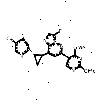 COc1ncc(-c2cc(C3C[C@@H]3c3ccc(Cl)cn3)c3ncc(F)n3n2)c(OC)n1